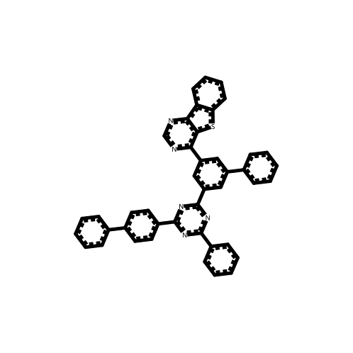 c1ccc(-c2ccc(-c3nc(-c4ccccc4)nc(-c4cc(-c5ccccc5)cc(-c5ncnc6c5sc5ccccc56)c4)n3)cc2)cc1